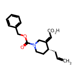 C=CC[C@@H]1CCN(C(=O)OCc2ccccc2)CC1=CC(=O)O